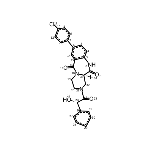 O=C1Nc2ccc(-c3ccc(Cl)cc3)cc2C(=O)N2CCN(C(=O)[C@@H](O)c3ccccc3)C[C@H]12